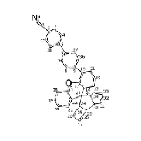 N#Cc1ccc(-c2ccc(-c3cccc4c3Oc3ccccc3C43C4C=CC=CC4C4C=CC=CC43)cc2)cc1